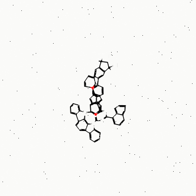 CC1(C)CC(C)(C)c2cc(-c3ccc(-c4cccc(-n5c6ccccc6c6ccc7c8ccccc8n(-c8nc(-c9ccc(C%10C=CC=CC%10)cc9)nc(-c9cccc%10ccccc9%10)n8)c7c65)c4)cc3)ccc21